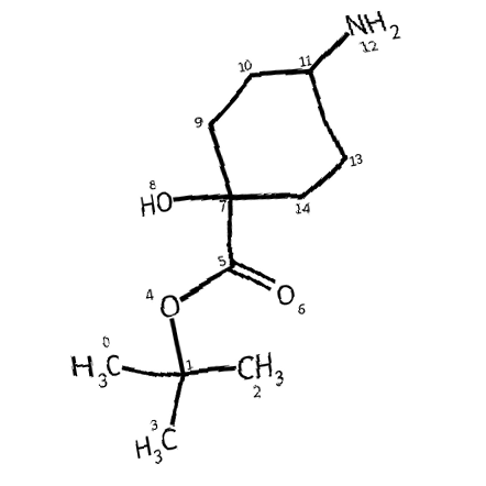 CC(C)(C)OC(=O)C1(O)CCC(N)CC1